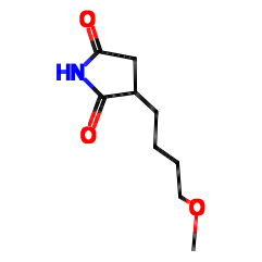 COCCCCC1CC(=O)NC1=O